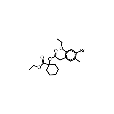 CCOC(=O)C1(OC(=O)Cc2cc(C)c(Br)cc2OCC)CCCCC1